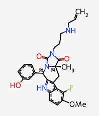 C=CCNCCCN1C(=O)N2[C@H](c3cccc(O)c3)c3[nH]c4ccc(OC)c(F)c4c3C[C@@]2(C)C1=O